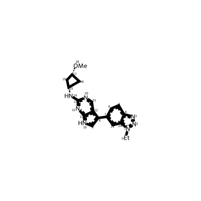 CCn1nnc2ccc(-c3c[nH]c4nc(N[C@H]5C[C@@H](OC)C5)ncc34)cc21